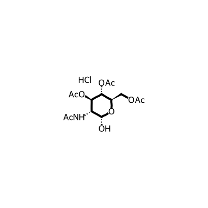 CC(=O)N[C@@H]1[C@@H](OC(C)=O)[C@H](OC(C)=O)[C@@H](COC(C)=O)O[C@@H]1O.Cl